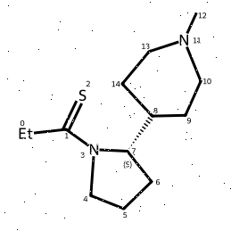 CCC(=S)N1CCC[C@H]1C1CCN(C)CC1